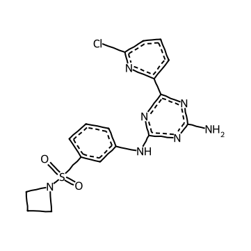 Nc1nc(Nc2cccc(S(=O)(=O)N3CCC3)c2)nc(-c2cccc(Cl)n2)n1